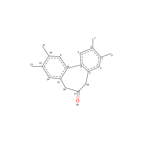 Cc1cc2c(cc1C)-c1cc(C)c(C)cc1CC(=O)C2